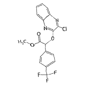 COC(=O)C(Oc1nc2ccccc2nc1Cl)c1ccc(C(F)(F)F)cc1